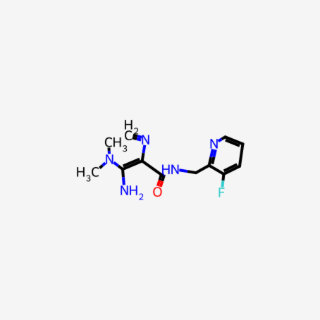 C=N/C(C(=O)NCc1ncccc1F)=C(/N)N(C)C